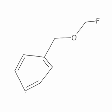 FCOCc1cc[c]cc1